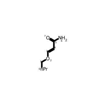 CCCCOC=CC(N)=O